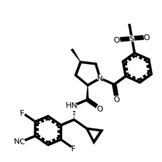 C[C@@H]1C[C@H](C(=O)N[C@@H](c2cc(F)c(C#N)cc2F)C2CC2)N(C(=O)c2cccc(S(C)(=O)=O)c2)C1